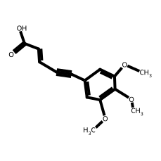 COc1cc(C#CC=CC(=O)O)cc(OC)c1OC